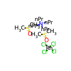 CCC[N+](CCC)(CCC)CCC.CS(C)=O.CS(C)=O.[Cl][Rh-]([Cl])([Cl])[Cl]